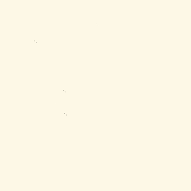 CCCCCN1CCC(c2c[nH]c3ccc(NC(=O)Nc4cccc(CC)c4)cc23)CC1